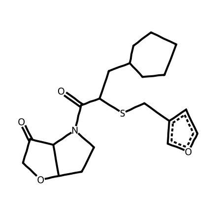 O=C1COC2CCN(C(=O)C(CC3CCCCC3)SCc3ccoc3)C12